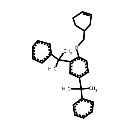 CC(C)(c1ccccc1)c1ccc(OCC2CC=CCC2)c(C(C)(C)c2ccccc2)c1